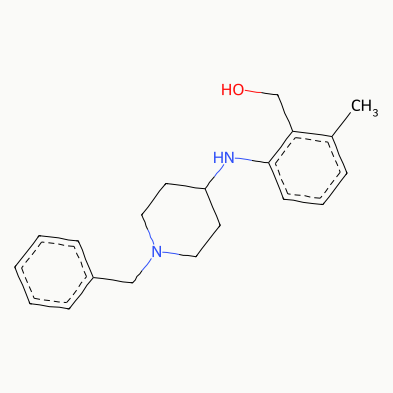 Cc1cccc(NC2CCN(Cc3ccccc3)CC2)c1CO